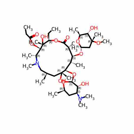 CCC(=O)O[C@@H]1[C@@H](C)N(C)C[C@H](C)C[C@@](C)(O)[C@H](O[C@@H]2O[C@H](C)C[C@H](N(C)C)[C@H]2O)[C@@H](C)[C@H](O[C@H]2C[C@@](C)(OC)[C@@H](O)[C@H](C)O2)[C@@H](C)C(=O)O[C@H](CC)[C@@]1(C)O